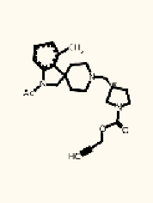 C#CCOC(=O)N1CC[C@H](CN2CCC3(CC2)CN(C(C)=O)c2cccc(C)c23)C1